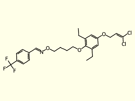 CCc1cc(OCC=C(Cl)Cl)cc(CC)c1OCCCCO/N=C/c1ccc(C(F)(F)F)cc1